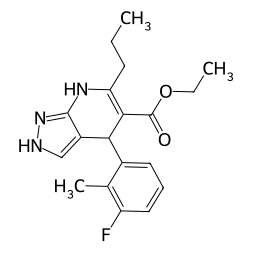 CCCC1=C(C(=O)OCC)C(c2cccc(F)c2C)c2c[nH]nc2N1